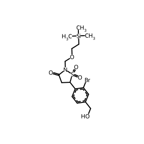 C[Si](C)(C)CCOCN1C(=O)CC(c2ccc(CO)cc2Br)S1(=O)=O